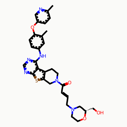 Cc1ccc(Oc2ccc(Nc3ncnc4sc5c(c34)CCN(C(=O)/C=C/CN3CCO[C@@H](CO)C3)C5)cc2C)cn1